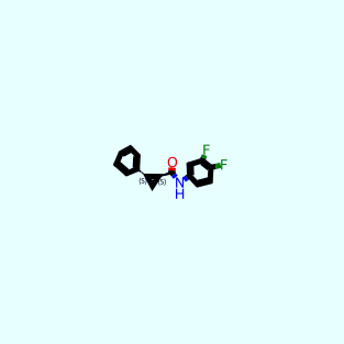 O=C(Nc1ccc(F)c(F)c1)[C@H]1C[C@@H]1c1ccccc1